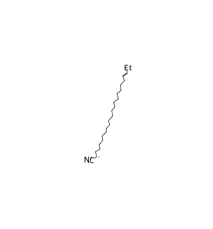 CCC=CCCCCCCCCCCCCCCCCCC[CH]C#N